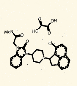 CNC(=O)Cn1c(=O)n(C2CCN(C3Cc4cccc5ccc(Cl)c3c45)CC2)c2ccccc21.O=C(O)C(=O)O